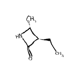 CC[C@H]1C(=O)N[C@@H]1C